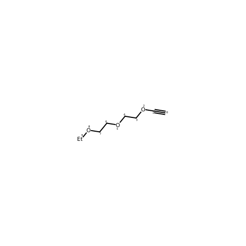 C#COCCOCCOCC